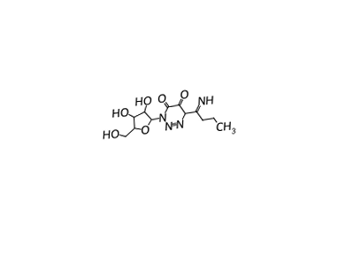 CCCC(=N)C1N=NN(C2OC(CO)C(O)C2O)C(=O)C1=O